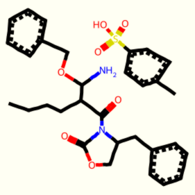 CCCCC(C(=O)N1C(=O)OCC1Cc1ccccc1)C(N)OCc1ccccc1.Cc1ccc(S(=O)(=O)O)cc1